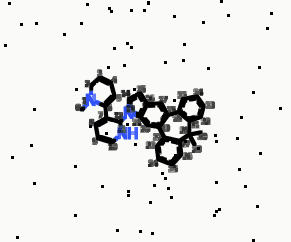 CN1CC=CC=C1C1=CC=CNC1n1ccc2cc3c(cc21)-c1ccccc1C(C)(C)c1ccccc1-3